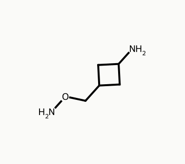 NOCC1CC(N)C1